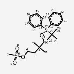 CC(C)(CCOS(C)(=O)=O)CO[Si](c1ccccc1)(c1ccccc1)C(C)(C)C